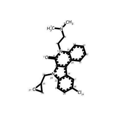 CN(C)CCn1c(=O)c2c(c3ccccc31)c1cc(Cl)ccc1n2CC1CO1